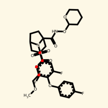 COCCOC(=O)N1CC2CCC(C(=O)NOC3CCCCO3)(C1)N2S(=O)(=O)c1cc(F)c(Oc2ccc(F)cc2)c(F)c1